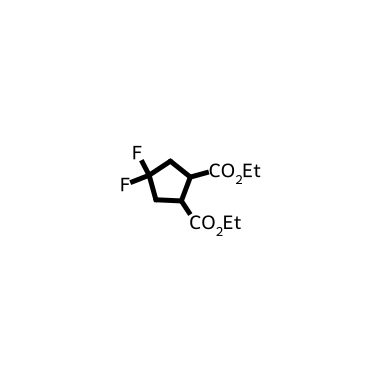 CCOC(=O)C1CC(F)(F)CC1C(=O)OCC